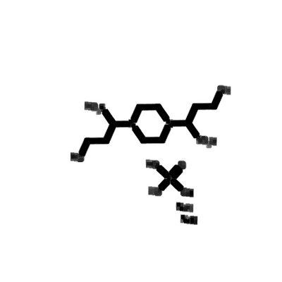 O=P(O)(O)O.O=S(=O)(O)C(CCO)N1CCN(C(CCO)S(=O)(=O)O)CC1.[NaH].[NaH]